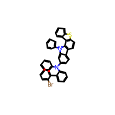 Brc1ccccc1-c1ccccc1N(c1ccccc1)c1ccc2c3ccc4sc5ccccc5c4c3n(-c3ccccc3)c2c1